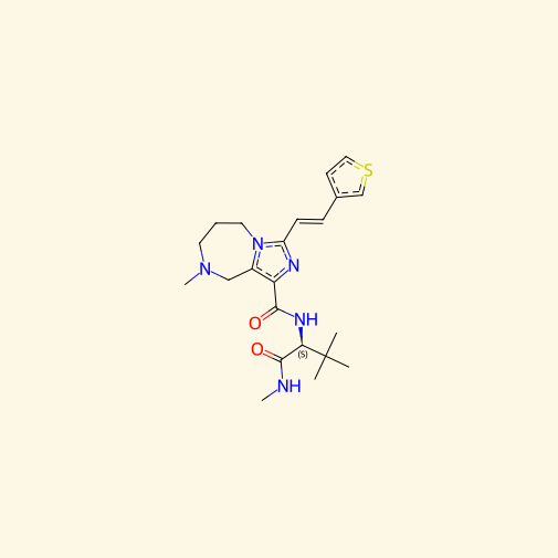 CNC(=O)[C@@H](NC(=O)c1nc(C=Cc2ccsc2)n2c1CN(C)CCC2)C(C)(C)C